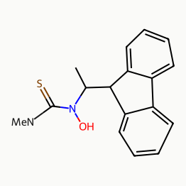 CNC(=S)N(O)C(C)C1c2ccccc2-c2ccccc21